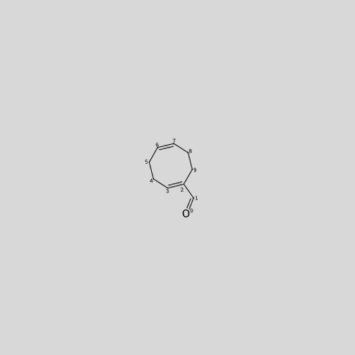 O=CC1=CCCC=CCC1